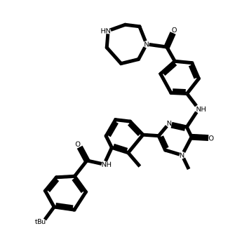 Cc1c(NC(=O)c2ccc(C(C)(C)C)cc2)cccc1-c1cn(C)c(=O)c(Nc2ccc(C(=O)N3CCCNCC3)cc2)n1